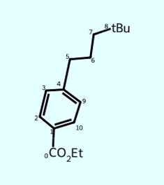 CCOC(=O)c1ccc(CCCC(C)(C)C)cc1